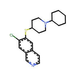 Clc1cc2cnccc2cc1SC1CCN(C2CCCCC2)CC1